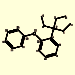 CCS(CC)(CC)c1ccccc1Oc1ccccc1